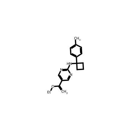 C=C(OCC)c1cnc(NC2(c3ccc(C)cc3)CCC2)nc1